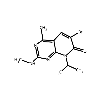 CNc1nc(C)c2cc(Br)c(=O)n(C(C)C)c2n1